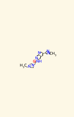 CCN1CCN(CC(=O)Nc2cc3cc(-c4cnn(C)c4)cnc3cn2)CC1